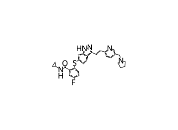 O=C(NC1CC1)c1cc(F)ccc1Sc1ccc2c(/C=C/c3ccc(CN4CCCC4)cn3)n[nH]c2c1